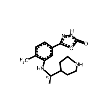 C[C@@H](Nc1cc(-c2n[nH]c(=O)o2)ccc1C(F)(F)F)C1CCNCC1